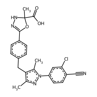 Cc1nn(-c2ccc(C#N)c(Cl)c2)c(C)c1Cc1ccc(C2=NNC(C)(C(=O)O)O2)cc1